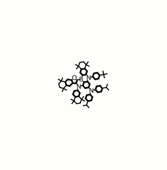 CC(C)c1ccc(N(c2ccc(C(C)C)cc2)c2cc3c4c(c2)N(c2ccc5c(c2)C(C)(C)CCC5(C)C)c2c(oc5cc6c(cc25)C(C)(C)CCC6(C)C)B4c2cc4c(cc2N3c2ccc(C(C)(C)C)cc2)C(C)(C)CCC4(C)C)cc1